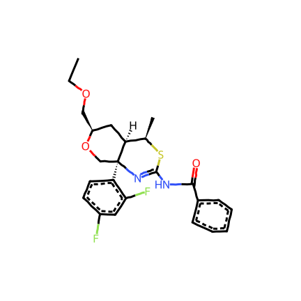 CCOC[C@H]1C[C@H]2[C@@H](C)SC(NC(=O)c3ccccc3)=N[C@@]2(c2ccc(F)cc2F)CO1